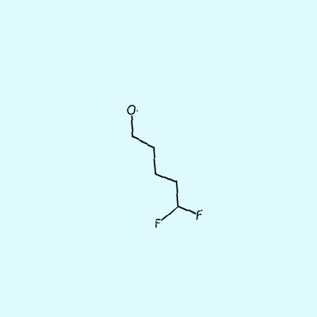 [O]CCCCC(F)F